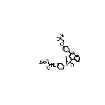 CN(C)C(=O)COC1CCN(c2cc(C(=O)NC[C@H]3CC[C@H](CNC(=O)OC(C)(C)C)CC3)c3ccccc3n2)CC1